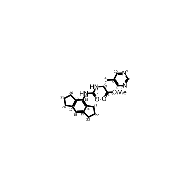 COC(=O)[C@@H](Cc1cncnc1)NC(=O)Nc1c2c(cc3c1CCC3)CCC2